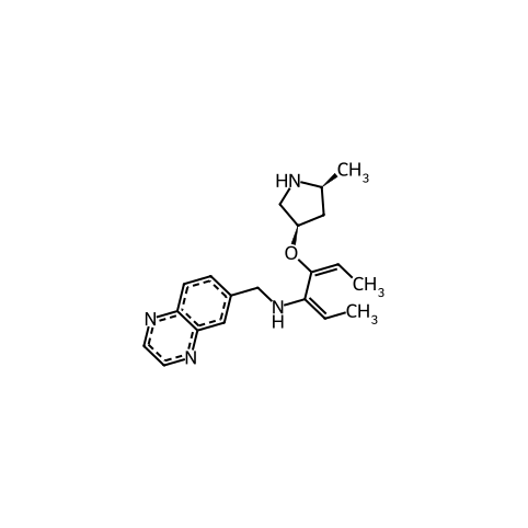 C/C=C(NCc1ccc2nccnc2c1)\C(=C/C)O[C@H]1CN[C@@H](C)C1